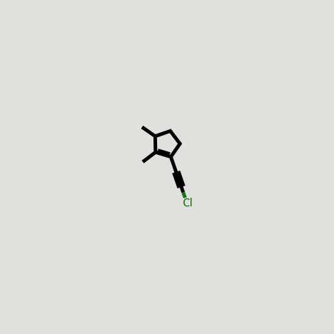 CC1=C(C#CCl)CCC1C